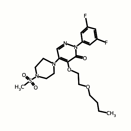 CCCCOCCOc1c(N2CCN(S(C)(=O)=O)CC2)cnn(-c2cc(F)cc(F)c2)c1=O